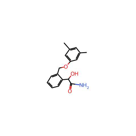 Cc1cc(C)cc(OCc2ccccc2C(O)C(N)=O)c1